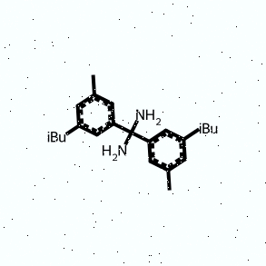 CCC(C)c1cc(C)cc(C(N)(N)c2cc(C)cc(C(C)CC)c2)c1